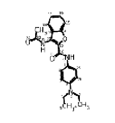 CCN(CC)c1ccc(NC(=O)c2oc3ccccc3c2NC(C)=O)cc1